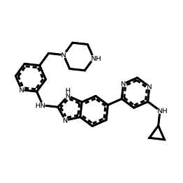 c1cc(CN2CCNCC2)cc(Nc2nc3ccc(-c4cc(NC5CC5)ncn4)cc3[nH]2)n1